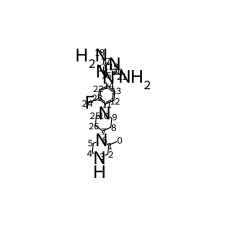 CC1CNCCN1C1CCN(c2ccc(-n3nc(N)nc3N)cc2F)CC1